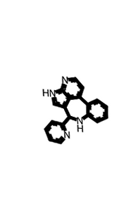 c1ccc(C2Nc3ccccc3-c3ccnc4[nH]cc2c34)nc1